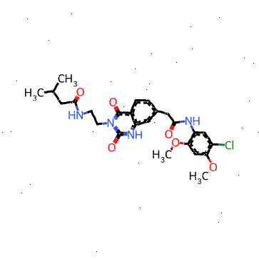 COc1cc(OC)c(NC(=O)Cc2ccc3c(=O)n(CCNC(=O)CC(C)C)c(=O)[nH]c3c2)cc1Cl